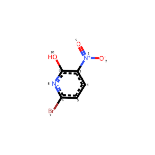 O=[N+]([O-])c1ccc(Br)nc1O